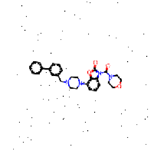 O=C(N1CCOCC1)n1c(=O)oc2c(N3CCN(Cc4cccc(-c5ccccc5)c4)CC3)cccc21